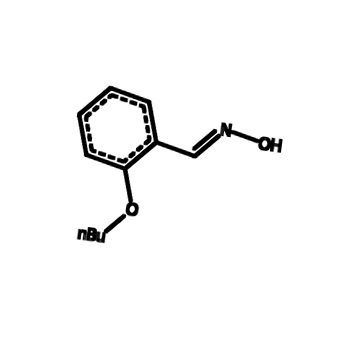 CCCCOc1ccccc1C=NO